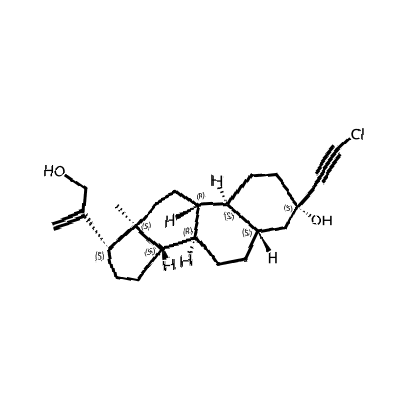 C=C(CO)[C@H]1CC[C@H]2[C@@H]3CC[C@H]4C[C@](O)(C#CCl)CC[C@@H]4[C@H]3CC[C@]12C